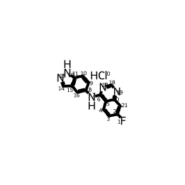 Cl.Fc1ccc2c(Nc3ccc4[nH]ncc4c3)ncnc2c1